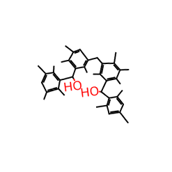 Cc1cc(C)c(C(O)c2c(C)c(C)c(C)c(Cc3cc(C)c(C)c(C(O)c4c(C)c(C)cc(C)c4C)c3C)c2C)c(C)c1